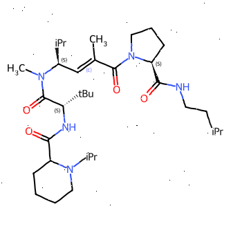 C/C(=C\[C@H](C(C)C)N(C)C(=O)[C@@H](NC(=O)C1CCCCN1C(C)C)C(C)(C)C)C(=O)N1CCC[C@H]1C(=O)NCCC(C)C